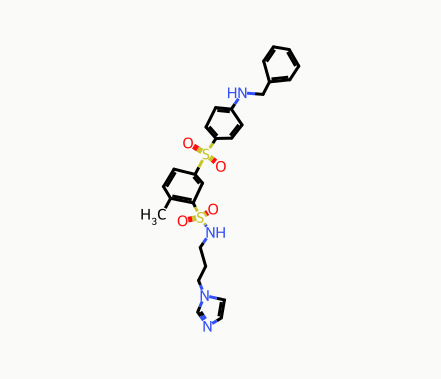 Cc1ccc(S(=O)(=O)c2ccc(NCc3ccccc3)cc2)cc1S(=O)(=O)NCCCn1ccnc1